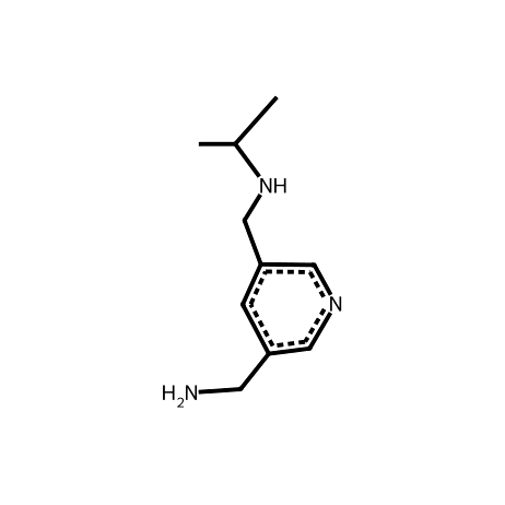 CC(C)NCc1cncc(CN)c1